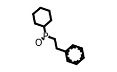 O=[P](CCc1ccccc1)C1CCCCC1